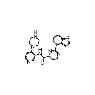 O=C(Nc1cnccc1N1CCNCC1)c1ccnc(-c2cccc3sccc23)n1